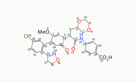 COc1cn(C(CC2COCCO2)C(=O)Nc2ccc(C(=O)O)cc2)c(=O)cc1-c1cc(Cl)ccc1C1=NOCC1